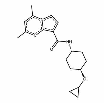 Cc1cc(C)n2ccc(C(=O)N[C@H]3CC[C@H](OC4CC4)CC3)c2n1